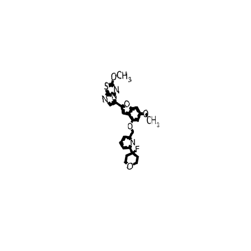 COc1cc(OCc2cccc(C3(F)CCOCC3)n2)c2cc(-c3cnc4sc(OC)nn34)oc2c1